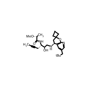 CC#CC[C@H](NC(=O)[C@@H](C)OC)[C@H](O)CN[C@H]1CC2(CCC2)Oc2ncc(CC(C)(C)C)cc21